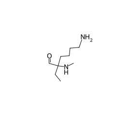 CCC(C=O)(CCCCN)NC